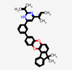 C=C(C)C1N=C(/C(C)=C/C)C=C(c2cccc(-c3ccc4c(c3)Oc3ccc5c(c3O4)-c3ccccc3C5(C)C)c2)N1